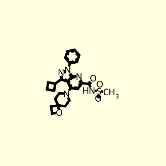 CS(=O)(=O)NC(=O)c1cc(N2CCC3(CCO3)CC2)c2c(C3CCC3)nn(-c3ccccc3)c2n1